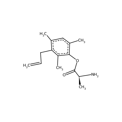 C=CCc1c(C)cc(C)c(OC(=O)[C@H](C)N)c1C